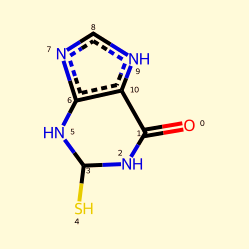 O=C1NC(S)Nc2nc[nH]c21